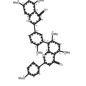 COc1ccc(-c2cc(=O)c3c(OC)cc(OC)c(-c4cc(-c5cc(=O)c6c(OC)cc(OC)cc6o5)ccc4OC)c3o2)cc1